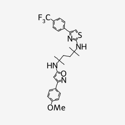 COc1ccc(-c2cc(NC(C)(C)CCC(C)(C)Nc3nc(-c4ccc(C(F)(F)F)cc4)cs3)on2)cc1